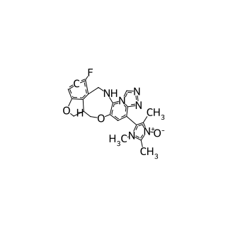 Cc1c(-c2cc3c(n4cnnc24)NCc2c(F)ccc4c2[C@@H](CO4)CO3)n(C)c(C)[n+]1[O-]